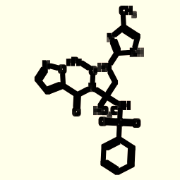 CCCON(C(=O)c1ccno1)C(CNc1nc(C)c[nH]1)(NS(=O)(=O)c1ccccc1)C(=O)O